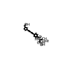 CSC(C)(C)C(NC(=O)c1ccc(C#CC#CC2CCC(CO)C2)cc1)C(=O)NO